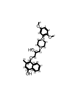 COc1ccc(OC)c(N2CCN(CC(O)COc3c(C)cc(O)c4ccccc34)CC2)c1